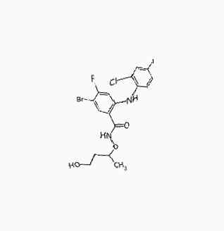 CC(CCO)ONC(=O)c1cc(Br)c(F)cc1Nc1ccc(I)cc1Cl